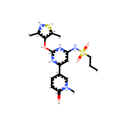 CCCS(=O)(=O)Nc1cc(-c2ccc(=O)n(C)c2)nc(Oc2c(C)nsc2C)n1